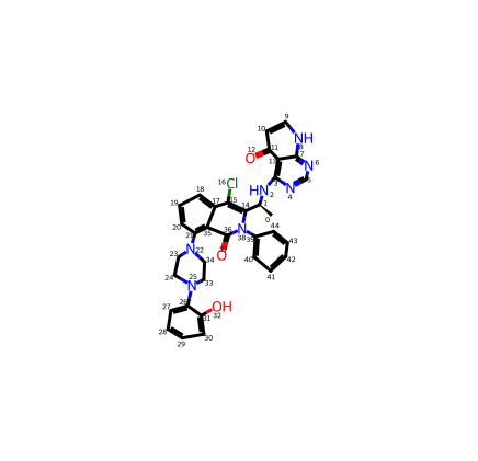 C[C@H](Nc1ncnc2[nH]ccc(=O)c12)c1c(Cl)c2cccc(N3CCN(c4ccccc4O)CC3)c2c(=O)n1-c1ccccc1